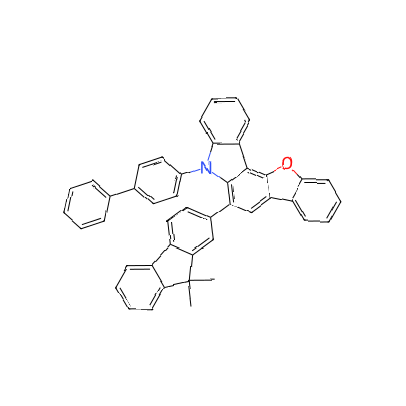 CC1(C)c2ccccc2-c2ccc(-c3cc4c5ccccc5oc4c4c5ccccc5n(-c5ccc(-c6ccccc6)cc5)c34)cc21